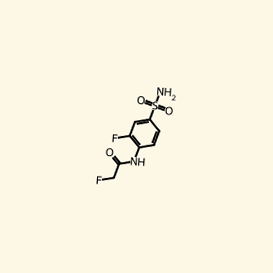 NS(=O)(=O)c1ccc(NC(=O)CF)c(F)c1